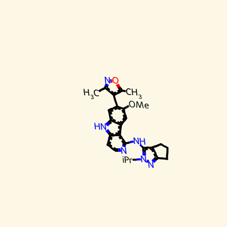 COc1cc2c(cc1-c1c(C)noc1C)[nH]c1ccnc(Nc3c4c(nn3C(C)C)CCC4)c12